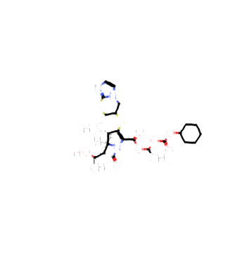 CC(OC(=O)OC1CCCCC1)OC(=O)C1=C(SC2CSc3nccn3C2)[C@H](C)[C@@H]2[C@@H]([C@@H](C)O)C(=O)N12